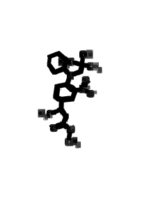 COC(=O)CC(C)c1ccc(N(CC(C)(C)O)C2CCCCC2)c([N+](=O)[O-])c1